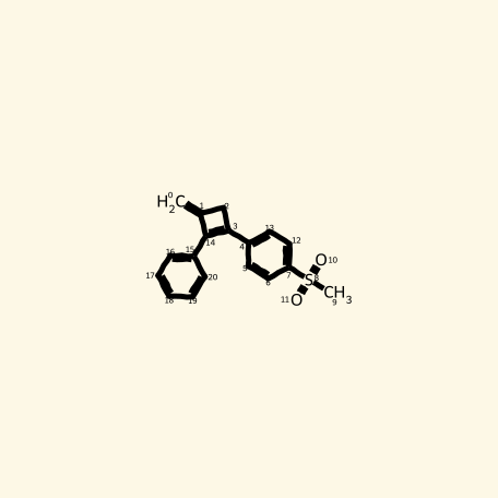 C=C1CC(c2ccc(S(C)(=O)=O)cc2)=C1c1ccccc1